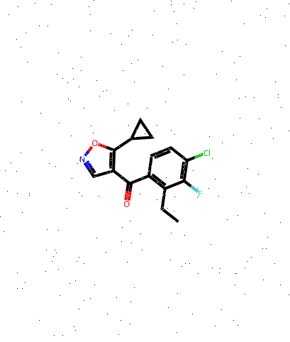 CCc1c(C(=O)c2cnoc2C2CC2)ccc(Cl)c1F